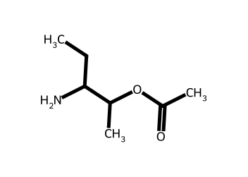 CCC(N)C(C)OC(C)=O